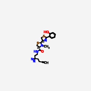 C#CCCC1(CCNC(=O)[C@@H]2CSC([C@H]3CSC(c4ccccc4O)=N3)N2C)N=N1